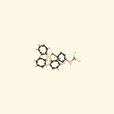 FC(F)Oc1ccc(C[PH](c2ccccc2)(c2ccccc2)c2ccccc2)cc1